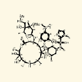 CCCNC[C@@]1(O)[C@@H](C)OC(O[C@H]2[C@H](C)[C@@H](O[C@@H]3O[C@H](C)C[C@H](N(C)S(=O)(=O)c4nccn4C)[C@H]3Oc3cccc([S+](C)[O-])c3)[C@](C)(O)C[C@@H](C)CN[C@H](C)[C@@H](O)[C@](C)(O)[C@@H](CC)OC(=O)[C@@H]2C)C[C@]1(C)OC